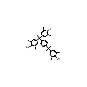 Cc1cc(C(C)(C)c2ccc(C(C)(c3cc(C)c(O)c(C)c3)c3cc(C)c(O)c(C)c3)cc2)cc(C)c1O